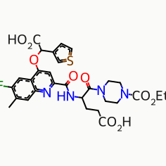 CCOC(=O)N1CCN(C(=O)C(CCC(=O)O)NC(=O)c2cc(OC(C(=O)O)c3ccsc3)c3cc(F)c(C)cc3n2)CC1